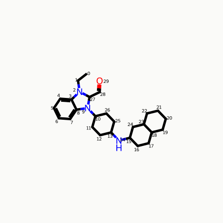 CCN1c2ccccc2N(C2CCC(NC3CCC4CCCCC4C3)CC2)C1C=O